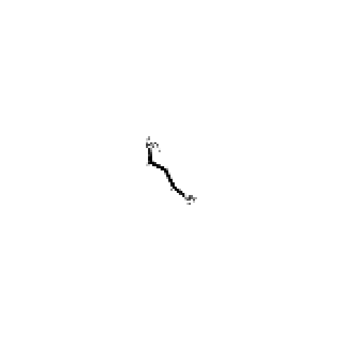 [CH2]CCCCC[N+](=O)[O-]